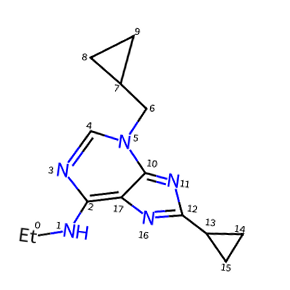 CCNc1ncn(CC2CC2)c2nc(C3CC3)nc1-2